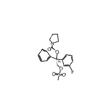 CS(=O)(=O)OC[C@@](OC(=O)N1CCCC1)(c1ccccc1)c1cccc(F)c1